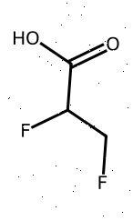 O=C(O)C(F)CF